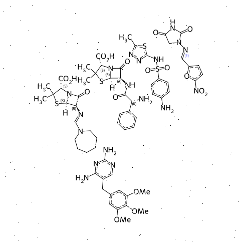 CC1(C)S[C@@H]2[C@H](N=CN3CCCCCC3)C(=O)N2[C@H]1C(=O)O.CC1(C)S[C@@H]2[C@H](NC(=O)[C@H](N)c3ccccc3)C(=O)N2[C@H]1C(=O)O.COc1cc(Cc2cnc(N)nc2N)cc(OC)c1OC.Cc1nnc(NS(=O)(=O)c2ccc(N)cc2)s1.O=C1CN(/N=C/c2ccc([N+](=O)[O-])o2)C(=O)N1